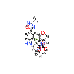 CC(C)c1noc(-c2ccc(Nc3ccnc(OC4C5COCC4CN(C(=O)OC4(C)CC4)C5)c3F)c(F)c2)n1